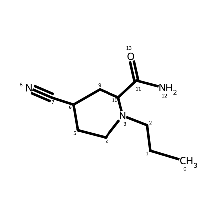 CCCN1CC[C](C#N)CC1C(N)=O